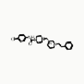 O=C(Nc1ccc(Cl)cc1)N1CCN(C[C@@H]2CCCN(CCc3ccccc3)C2)CC1